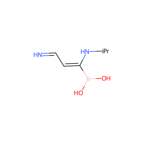 CC(C)N/C(=C\C=N)B(O)O